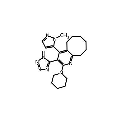 Cn1nccc1-c1c2c(nc(N3CCCCC3)c1-c1nnn[nH]1)CCCCCC2